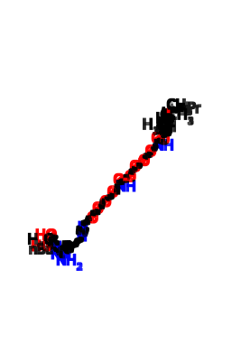 CCCCc1nc2c(N)nc3cc(CCCN4CCN(CCCOCCOCCOCCOCCNC(=O)CCOCCOCCOCCOCCNC(=O)O[C@H]5CC[C@@]6(C)C(=CC[C@H]7[C@@H]8CC[C@H]([C@H](C)CCCC(C)C)[C@@]8(C)CC[C@@H]76)C5)CC4)ccc3c2n1CC(C)(CO)CO